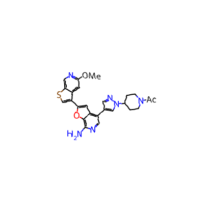 COc1cc2c(-c3cc4c(-c5cnn(C6CCN(C(C)=O)CC6)c5)cnc(N)c4o3)csc2cn1